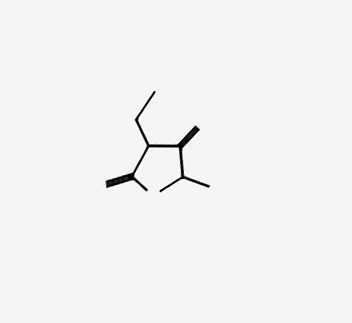 CCC1C(=O)OC(C)C1=O